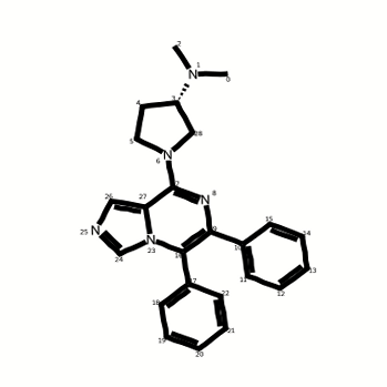 CN(C)[C@H]1CCN(c2nc(-c3ccccc3)c(-c3ccccc3)n3cncc23)C1